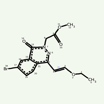 CCO/C=C/c1nn(CC(=O)OC)c(=O)c2cc(Br)ccc12